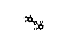 Cc1cc(C2CN(c3c(Cl)cccc3Cl)C2)cc(F)c1C=O